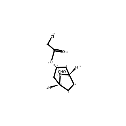 O=CN1[C@@H]2CC[C@H]1C[C@@H](OC(=O)CCl)C2